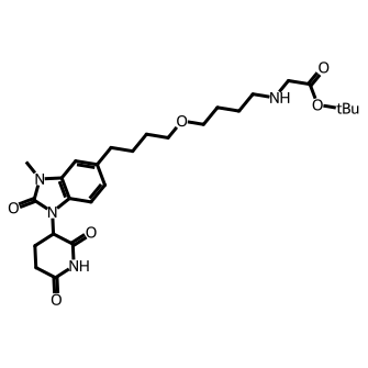 Cn1c(=O)n(C2CCC(=O)NC2=O)c2ccc(CCCCOCCCCNCC(=O)OC(C)(C)C)cc21